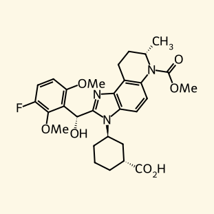 COC(=O)N1c2ccc3c(nc([C@H](O)c4c(OC)ccc(F)c4OC)n3[C@@H]3CCC[C@@H](C(=O)O)C3)c2CC[C@@H]1C